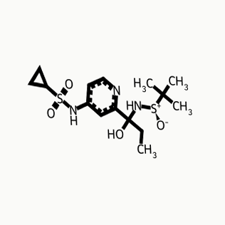 CCC(O)(N[S@+]([O-])C(C)(C)C)c1cc(NS(=O)(=O)C2CC2)ccn1